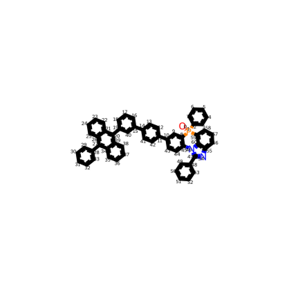 O=P1(c2ccccc2)c2cc(-c3ccc(-c4cccc(-c5c6ccccc6c(-c6ccccc6)c6ccccc56)c4)cc3)ccc2-n2c(-c3ccccc3)nc3cccc1c32